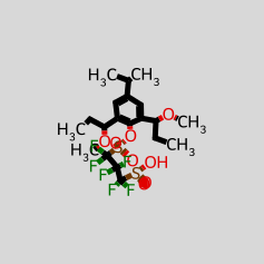 CCC(OC)c1cc(C(C)C)cc(C(CC)OC)c1OS(=O)(=O)C(F)(F)C(F)(F)C(F)(F)S(=O)(=O)O